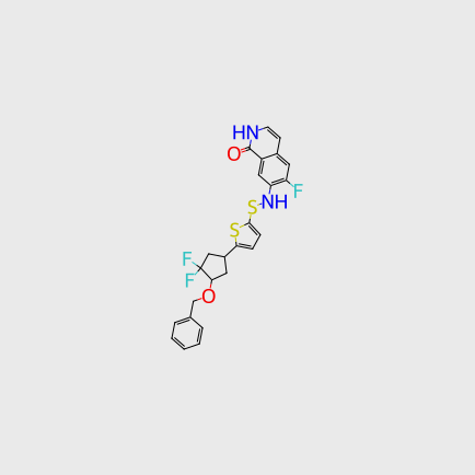 O=c1[nH]ccc2cc(F)c(NSc3ccc(C4CC(OCc5ccccc5)C(F)(F)C4)s3)cc12